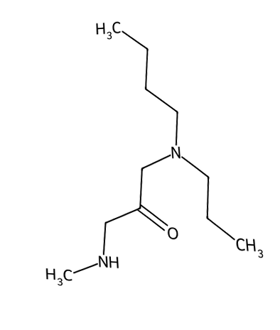 CCCCN(CCC)CC(=O)CNC